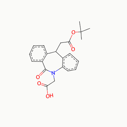 CC(C)(C)OC(=O)CC1c2ccccc2C(=O)N(CC(=O)O)c2ccccc21